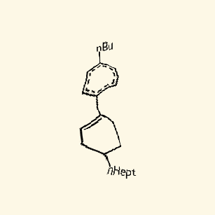 CCCCCCCC1CC=C(c2ccc(CCCC)cc2)CC1